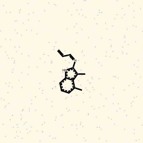 C=C/C=N\c1[nH]c2cccc(C)c2c1C